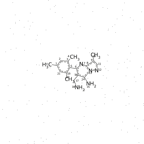 Cc1cc(C)c(-c2nc3c(C)cnn3c(N)c2CN)c(C)c1